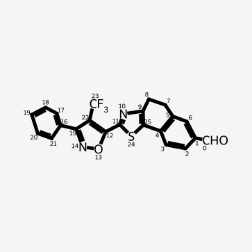 O=Cc1ccc2c(c1)CCc1nc(-c3onc(-c4ccccc4)c3C(F)(F)F)sc1-2